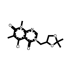 Cc1c(Cl)c2c(=O)n(CC3COC(C)(C)O3)cnc2n(C)c1=O